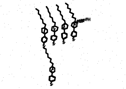 CCCCCCCCC12CCC(c3ccc([S])cc3)(CC1)CC2.CCCCCCCCC12CCC(c3ccc([S])cc3)(CC1)CC2.CCCCCCCCC12CCC(c3ccc([S])cc3)(CC1)CC2.CCCCCCCCC12CCC(c3ccc([S])cc3)(CC1)CC2.CCCCCCCCC12CCC(c3ccc([S])cc3)(CC1)CC2.F.F.F.F.F